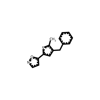 Cc1sc(-c2ccno2)cc1Cc1ccccc1